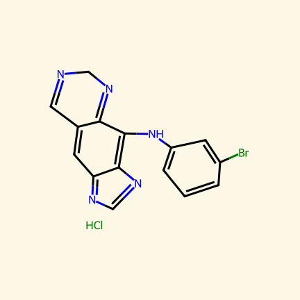 Brc1cccc(Nc2c3c(cc4c2=NCN=C4)=NC=N3)c1.Cl